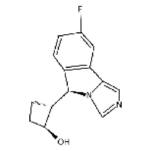 O[C@H]1CC[C@@H]1[C@H]1c2ccc(F)cc2-c2cncn21